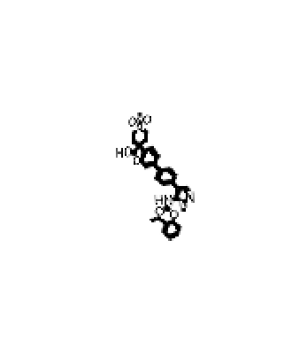 CC(OC(=O)Nc1c(-c2ccc(-c3ccc(C4(C(=O)O)CCN(S(C)(=O)=O)CC4)cc3)cc2)cnn1C)c1ccccc1